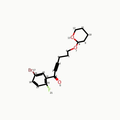 O=C(C#CCCCOC1CCCCO1)c1cc(Br)ccc1F